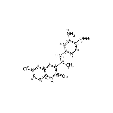 COc1cnc(NC(C)c2cc3cc(Cl)ccc3[nH]c2=O)nc1N